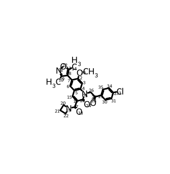 COc1cc2c(cc1-c1c(C)noc1C)cc(C(=O)N1CCC1)c(=O)n2CC(=O)c1ccc(Cl)cc1